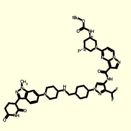 Cn1nc(C2CCC(=O)NC2=O)c2ccc(N3CCC(NCC4CCC(n5cc(NC(=O)c6cnn7ccc(N8C[C@H](F)C[C@@H](NC(=O)OC(C)(C)C)C8)nc67)c(C(F)F)n5)CC4)CC3)cc21